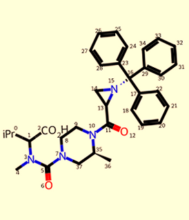 CC(C)C(C(=O)O)N(C)C(=O)N1CCN(C(=O)C2C[N@]2C(c2ccccc2)(c2ccccc2)c2ccccc2)[C@@H](C)C1